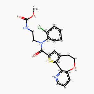 CC(C)(C)OC(=O)NCCN(C(=O)c1cc2c(s1)-c1ncccc1OCC2)c1ccccc1Cl